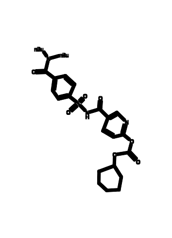 CCCCN(CCCC)C(=O)c1ccc(S(=O)(=O)NC(=O)c2ccc(OC(=O)OC3CCCCC3)nc2)cc1